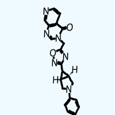 O=c1c2ccncc2ncn1Cc1nc(C2[C@H]3CN(c4ccccc4)C[C@@H]23)no1